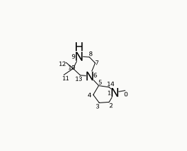 CN1CCCC(N2CCNC(C)(C)C2)C1